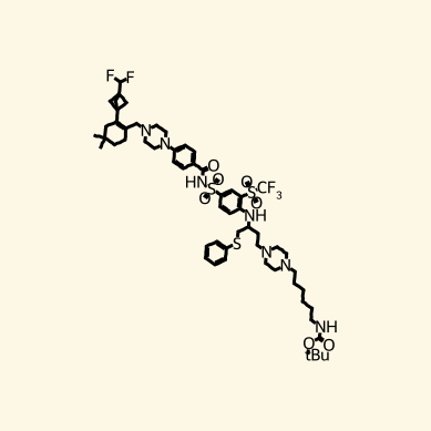 CC1(C)CCC(CN2CCN(c3ccc(C(=O)NS(=O)(=O)c4ccc(NC(CCN5CCN(CCCCCCNC(=O)OC(C)(C)C)CC5)CSc5ccccc5)c(S(=O)(=O)C(F)(F)F)c4)cc3)CC2)=C(C23CC(C(F)F)(C2)C3)C1